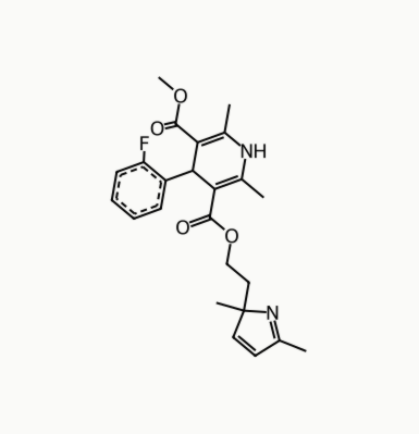 COC(=O)C1=C(C)NC(C)=C(C(=O)OCCC2(C)C=CC(C)=N2)C1c1ccccc1F